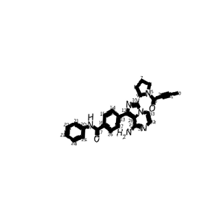 CC#CC(=O)N1CCC[C@H]1c1nc(-c2ccc(C(=O)Nc3ccccc3)cc2)c2c(N)nccn12